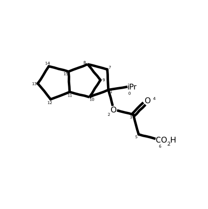 CC(C)C1(OC(=O)CC(=O)O)CC2CC1C1CCCC21